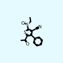 CC[S+]([O-])c1sc(C(C)=O)c(-c2ccccc2)c1C#N